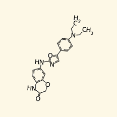 CCN(CC)c1ccc(-c2cnc(Nc3ccc4c(c3)OCC(=O)N4)o2)cc1